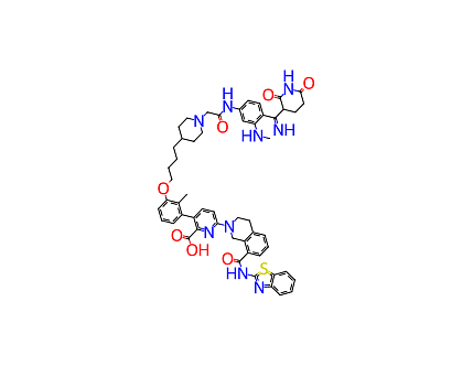 CNc1cc(NC(=O)CN2CCC(CCCCOc3cccc(-c4ccc(N5CCc6cccc(C(=O)Nc7nc8ccccc8s7)c6C5)nc4C(=O)O)c3C)CC2)ccc1C(=N)C1CCC(=O)NC1=O